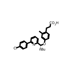 CCCC[C@@H](Oc1ccc(CCC(=O)O)c(C)c1)c1cccc(-c2ccc(Cl)cc2)n1